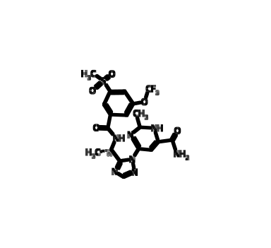 CC1N=C(n2ncnc2[C@H](C)NC(=O)c2cc(OC(F)(F)F)cc(S(C)(=O)=O)c2)C=C(C(N)=O)N1